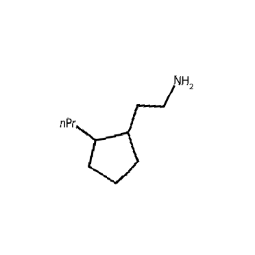 CCCC1CCCC1CCN